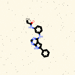 C=CC(=O)Nc1cccc(Nc2ncnc3[nH]c(-c4ccccc4)cc23)c1